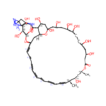 C[C@H]1C[C@H](O)[C@@H](C)/C=C/C=C/C=C/C=C/C=C/C=C/C=C/C(O[C@@H]2OC[C@@H](O)[C@H](N)[C@@H]2O)C[C@@H]2OC(O)(CC(O)CC(O)C(O)CCC(O)CC(O)CC(=O)O1)C[C@H](O)C2C(=O)NC1CC2(C1)N=N2